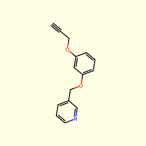 C#CCOc1cccc(OCc2cccnc2)c1